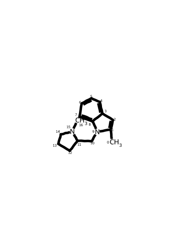 Cc1cc2ccccc2n1CC1CCCN1C